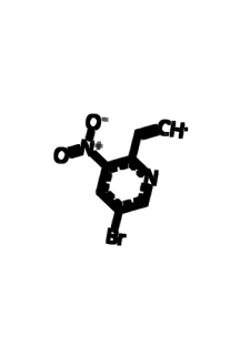 [CH]=Cc1ncc(Br)cc1[N+](=O)[O-]